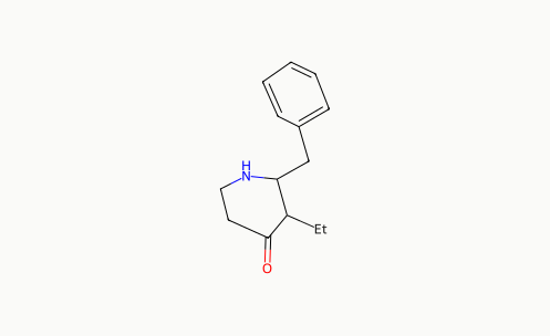 CCC1C(=O)CCNC1Cc1ccccc1